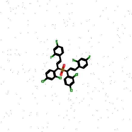 O=S(=O)(C(C=Cc1ccc(F)cc1F)c1ccc(Cl)cc1Cl)C(C=Cc1ccc(F)cc1F)c1ccc(Cl)cc1Cl